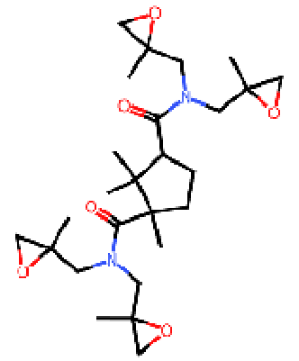 CC1(CN(CC2(C)CO2)C(=O)C2CCC(C)(C(=O)N(CC3(C)CO3)CC3(C)CO3)C2(C)C)CO1